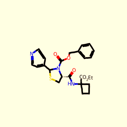 CCOC(=O)C1(NC(=O)[C@@H]2CSC(c3ccncc3)N2C(=O)OCc2ccccc2)CCC1